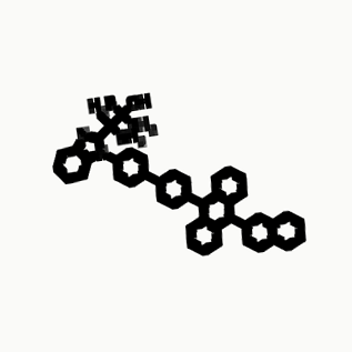 BC(B)(O)C(B)(C)c1nc2ccccc2n1-c1ccc(-c2ccc(-c3c4ccccc4c(-c4ccc5ccccc5c4)c4ccccc34)cc2)cc1